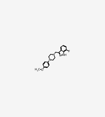 COc1ccc(N2CCN(Cc3n[nH]c4c(F)cccc34)CC2)cc1